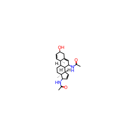 CC(=O)NC1C=C2CC(O)C=C[C@]2(C)[C@@H]2CC[C@]3(C)C(NC(C)=O)C=C[C@H]3[C@H]12